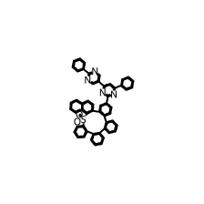 O=S1(=O)c2ccccc2-c2ccccc2-c2ccccc2-c2ccc(-c3nc(-c4ccccc4)cc(-c4cnc(-c5ccccc5)nc4)n3)cc2-c2ccc3ccccc3c21